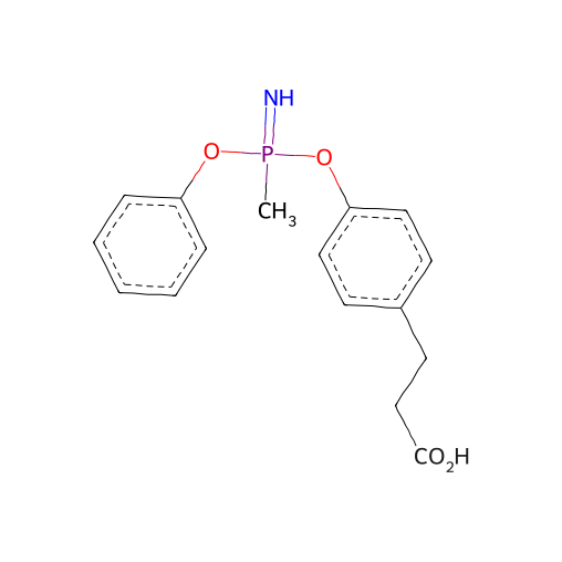 CP(=N)(Oc1ccccc1)Oc1ccc(CCC(=O)O)cc1